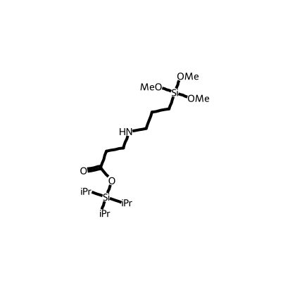 CO[Si](CCCNCCC(=O)O[Si](C(C)C)(C(C)C)C(C)C)(OC)OC